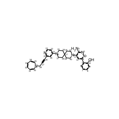 Nc1nnc(-c2ccccc2O)cc1N1CCC2(CCN(c3ccnc(C#CCN4C=CC=CC=C4)c3)CC2)CC1